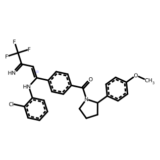 COc1ccc(C2CCCN2C(=O)c2ccc(/C(=C/C(=N)C(F)(F)F)Nc3ccccc3Cl)cc2)cc1